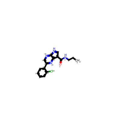 CCCNC(=O)c1c[nH]c2ncc(-c3ccccc3Cl)nc12